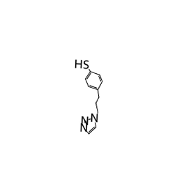 Sc1ccc(CCCn2ccnn2)cc1